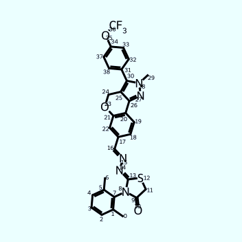 Cc1cccc(C)c1N1C(=O)CS/C1=N\N=C\c1ccc2c(c1)OCc1c-2nn(C)c1-c1ccc(OC(F)(F)F)cc1